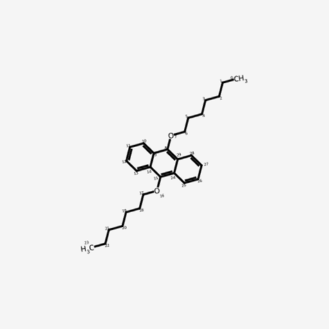 CCCCCCCOc1c2ccccc2c(OCCCCCCC)c2ccccc12